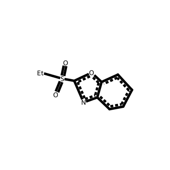 CCS(=O)(=O)c1nc2ccccc2o1